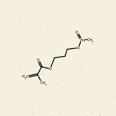 C=C(C)C(=O)OCCCO[PH](C)=O